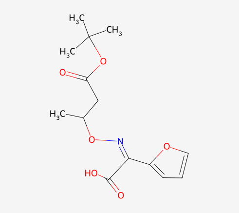 CC(CC(=O)OC(C)(C)C)O/N=C(\C(=O)O)c1ccco1